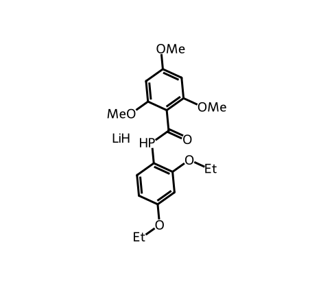 CCOc1ccc(PC(=O)c2c(OC)cc(OC)cc2OC)c(OCC)c1.[LiH]